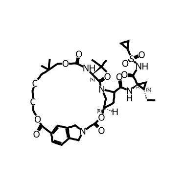 CC[C@H]1C[C@@]1(NC(=O)C1C[C@@H]2CN1C(=O)[C@H](C(C)(C)C)NC(=O)OCC(C)(C)CCCCCOC(=O)c1ccc3c(c1)CN(C3)C(=O)O2)C(=O)NS(=O)(=O)C1CC1